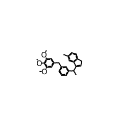 COc1cc(Cc2cccc(C(C)C3=CCc4ccc(C)cc43)c2)cc(OC)c1OC